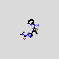 Cc1sc(Nc2ccccn2)nc1-c1cnn(C(=O)N(C)C)c1